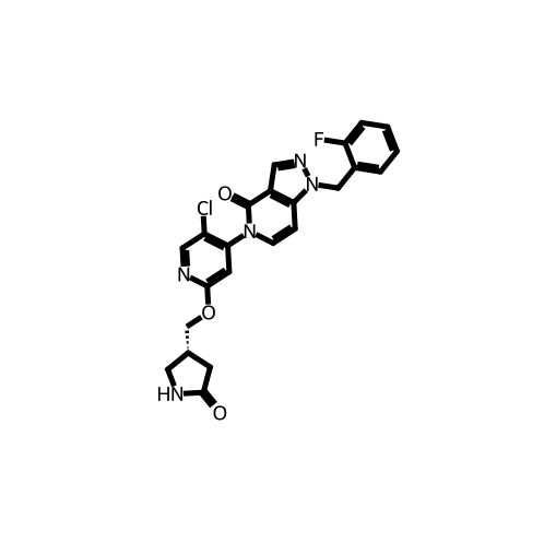 O=C1C[C@@H](COc2cc(-n3ccc4c(cnn4Cc4ccccc4F)c3=O)c(Cl)cn2)CN1